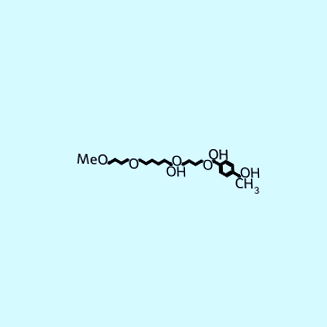 COCCCCOCCCCCC(O)OCCCCOC(O)c1ccc(C(C)O)cc1